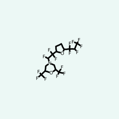 FC(N1CC(C(F)(F)F)OC(C(F)(F)F)C1)C(F)(F)C1CCC(C(F)(F)C(F)C(F)(F)F)O1